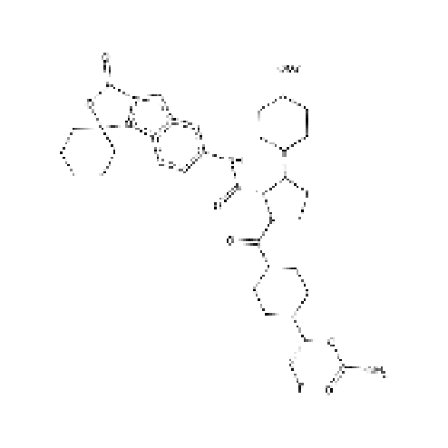 COC1CCC([C@@H]2CCN(C(=O)C3CCC([C@@H](CF)OC(N)=O)CC3)[C@@H]2C(=O)Nc2ccc3c(c2)cc2n3C3(CCCCC3)OC2=O)CC1